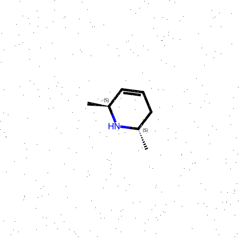 C[C@H]1C=CC[C@H](C)N1